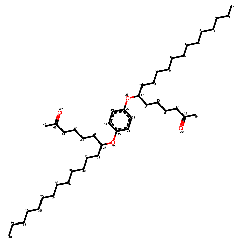 CCCCCCCCCCCCCC(CCCCC(C)=O)Oc1ccc(OC(CCCCCCCCCCCCC)CCCCC(C)=O)cc1